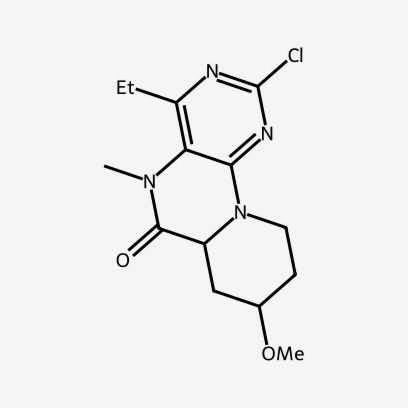 CCc1nc(Cl)nc2c1N(C)C(=O)C1CC(OC)CCN21